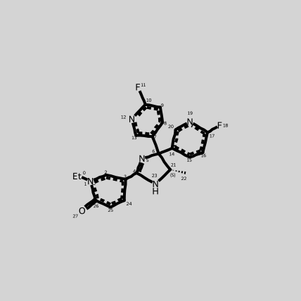 CCn1cc(C2=NC(c3ccc(F)nc3)(c3ccc(F)nc3)[C@H](C)N2)ccc1=O